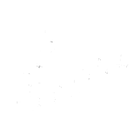 O=C(NCc1ccc(F)c(Cl)c1)c1cc(C(=O)N[C@H]2CCc3cc(-c4noc(C(F)(F)F)n4)ccc32)n2ncc(F)c2n1